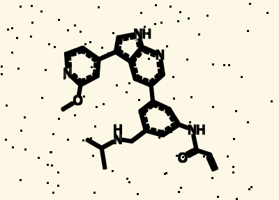 C=CC(=O)Nc1cc(CNC(C)C)cc(-c2cnc3[nH]cc(-c4ccnc(OC)c4)c3c2)c1